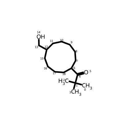 CC(C)(C)C(=O)C1CCCCCC(CO)CCCC1